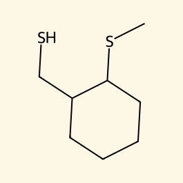 CSC1CCCCC1CS